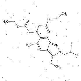 CCOC(=O)CN(CC(=O)OCC)c1cc2nn(CC(F)F)c(CC)c2cc1C